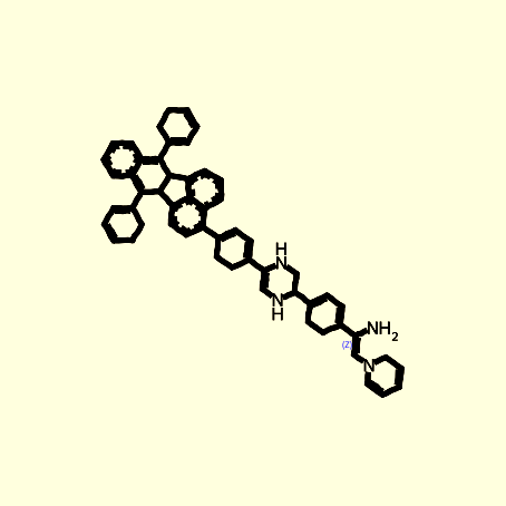 N/C(=C\N1C=CC=CC1)C1=CC=C(C2CNC(C3=CC=C(c4ccc5c6c(cccc46)C4C(C6=CC=CCC6)=c6ccccc6=C(C6=CC=CCC6)C54)CC3)=CN2)CC1